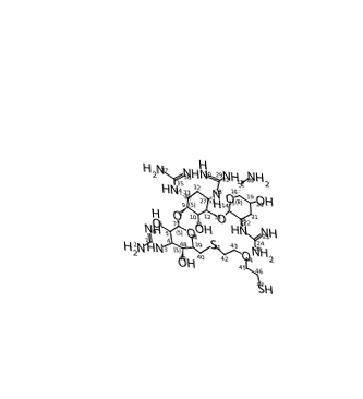 N=C(N)NC1C(O)[C@@H](O[C@@H]2C(O)C(OC3O[C@H](CN)C(O)C[C@H]3NC(=N)N)[C@@H](NC(=N)N)C[C@H]2NC(=N)N)OC(CSCCOCCS)[C@H]1O